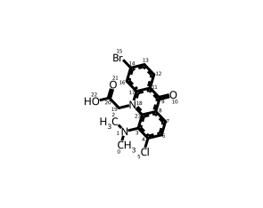 CN(C)c1c(Cl)ccc2c(=O)c3ccc(Br)cc3n(CC(=O)O)c12